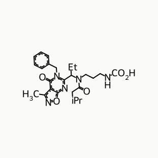 CCC(c1nc2onc(C)c2c(=O)n1Cc1ccccc1)N(CCCNC(=O)O)C(=O)CC(C)C